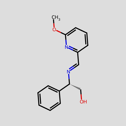 COc1cccc(/C=N/[C@H](CO)c2ccccc2)n1